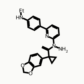 C=C(N(N)c1cccc(-c2ccc(NCC)cc2)n1)C1(c2ccc3c(c2)OCO3)CC1